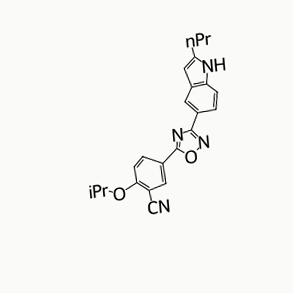 CCCc1cc2cc(-c3noc(-c4ccc(OC(C)C)c(C#N)c4)n3)ccc2[nH]1